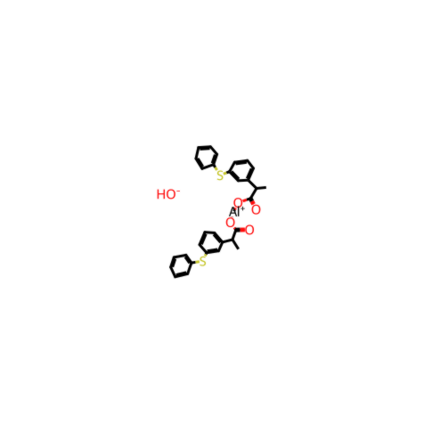 CC(C(=O)[O][Al+][O]C(=O)C(C)c1cccc(Sc2ccccc2)c1)c1cccc(Sc2ccccc2)c1.[OH-]